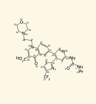 CC(C)NC(=O)Nc1cc(-c2nc(C(F)(F)F)cs2)c(-c2ccc3c(c2)c(=O)c(C(=O)O)cn3CCN2CCOCC2)cn1